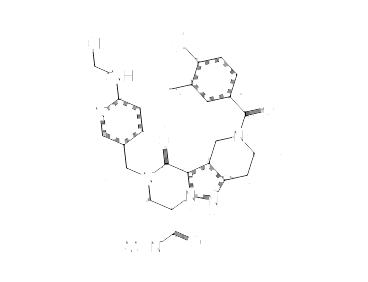 CNC(=O)[C@@H]1CN([C@H](C)c2ccc(NCC(F)(F)F)nc2)C(=O)c2c3c(nn21)C[C@@H](C)N(C(=O)c1ccc(Cl)c(Cl)c1)C3